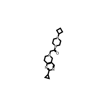 O=C(CN1CCc2nc(C3CC3)ncc2C1)N1CCN(C2CCC2)CC1